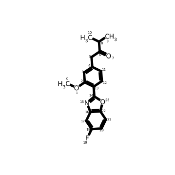 COc1cc(CC(=O)C(C)C)ccc1-c1nc2cc(F)ccc2o1